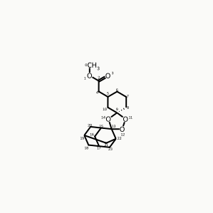 COC(=O)CC1CCC[C@]2(C1)OOC1(O2)C2CC3CC(C2)CC1C3